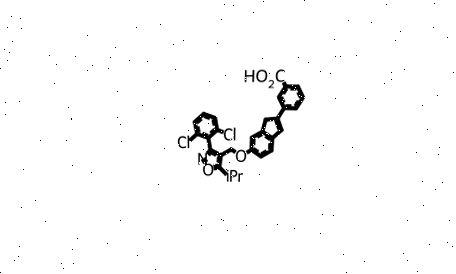 CC(C)c1onc(-c2c(Cl)cccc2Cl)c1COc1ccc2c(c1)CC(c1cccc(C(=O)O)c1)=C2